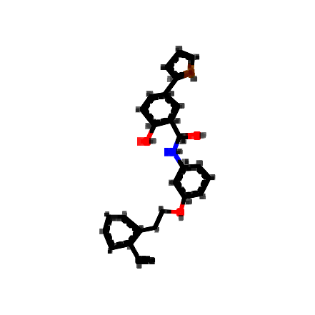 COc1ccccc1CCOc1cccc(NC(=O)c2cc(-c3cccs3)ccc2O)c1